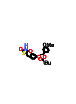 COc1cccc([C@H](COc2ccc(CC3SC(=O)NC3=O)cc2)OC(=O)C(C)(C)C)c1